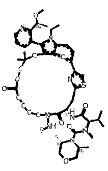 CCn1c(-c2cccnc2[C@H](C)OC)c2c3cc(ccc31)-c1csc(n1)C[C@H](NC(=O)C(C(C)C)N(C)C(=O)N1[C@@H](C)COC[C@@H]1C)C(=O)N(NF)CCCCC(=O)OCC(C)(C)C2